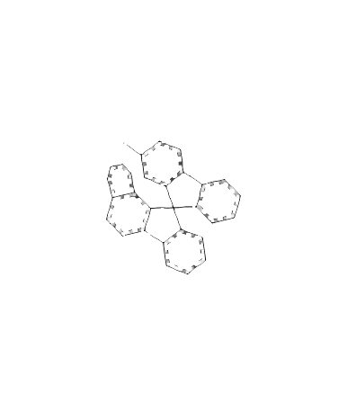 Clc1ccc2c(c1)C1(c3ccccc3-2)c2ccccc2-c2ccc3ccccc3c21